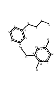 CCCCc1ccccc1.CCc1cc(C)ccc1C